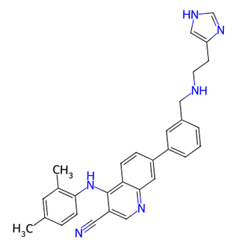 Cc1ccc(Nc2c(C#N)cnc3cc(-c4cccc(CNCCc5c[nH]cn5)c4)ccc23)c(C)c1